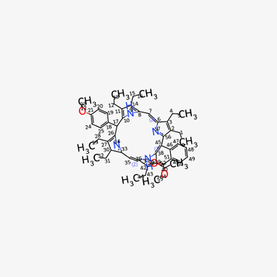 CCC1=C(CC)/C2=C/c3[nH]c(c(CC)c3CC)C(c3ccc(OC)cc3)C3=C(CC)C(CC)C(=N3)/C=c3\[nH]/c(c(CC)c3CC)=C(/c3ccccc3C(=O)OC)C1=N2